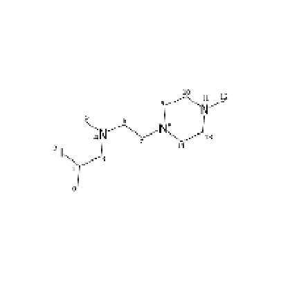 CC(I)CN(C)CCN1CCN(C)CC1